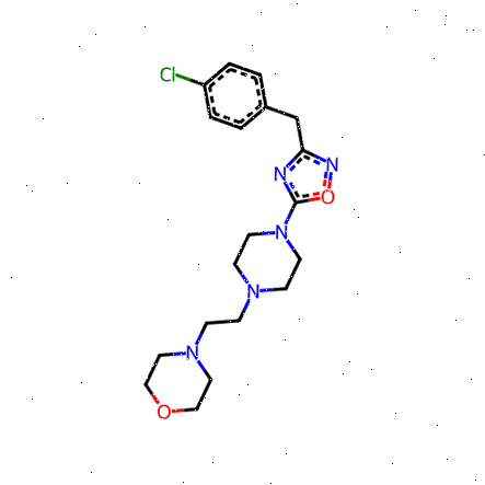 Clc1ccc(Cc2noc(N3CCN(CCN4CCOCC4)CC3)n2)cc1